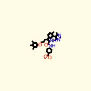 COC(=O)C1CCC(NC(=O)c2[nH]c3c(-c4c(C)ncnc4C)c(C)ccc3c2CCCOc2cc(C)c(C)c(C)c2)CC1